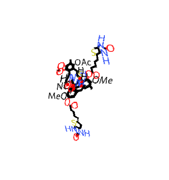 COc1cc2c(cc1OC(=O)CCCC[C@H]1CC3NC(=O)NC3S1)CCN[C@]21CS[C@@H]2c3c(OC(C)=O)c(C)c4c(c3[C@H](COC1=O)N1C2[C@@H]2c3c(cc(C)c(OC)c3OC(=O)CCCCC3SCC5NC(=O)NC53)C[C@H]([C@@H]1C#N)N2C)OCO4